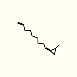 C=CCCCCCCC=C1CC1C